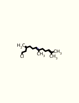 C=C(CCCl)CC/C=C(\C)CCC=C(C)C